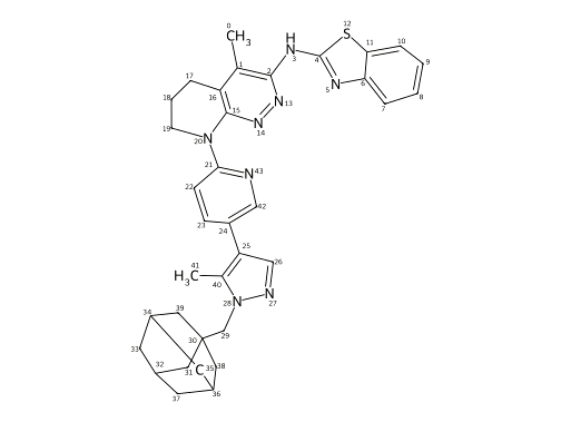 Cc1c(Nc2nc3ccccc3s2)nnc2c1CCCN2c1ccc(-c2cnn(CC34CC5CC(CC(C5)C3)C4)c2C)cn1